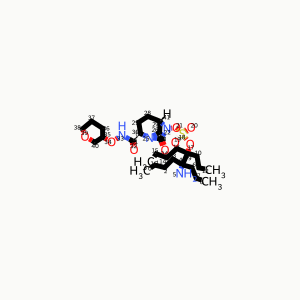 CCCCC(N)(CCC)C(CCC)(CCCC)OS(=O)(=O)ON1C(=O)N2C[C@H]1CC[C@H]2C(=O)NOC1CCCOC1